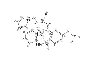 CC(C)Cc1ccc(S(=O)(=O)Nc2ncccn2)c(-c2ccc(Cn3ccnc3)c(F)c2)c1